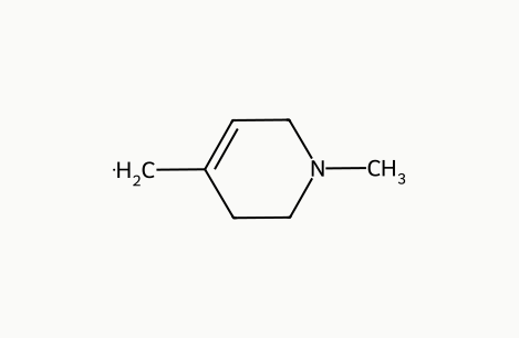 [CH2]C1=CCN(C)CC1